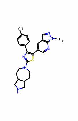 Cn1ncc2cc(-c3sc(N4CCC5CNCC5CC4)nc3-c3ccc(C#N)cc3)cnc21